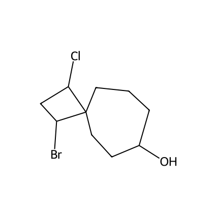 OC1CCCC2(CC1)C(Cl)CC2Br